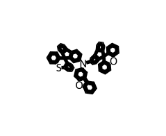 c1ccc2c(c1)Oc1ccccc1C21c2ccccc2-c2cc(N(c3ccc4c(c3)C3(c5ccccc5Sc5ccccc53)c3ccccc3-4)c3ccc4oc5ccccc5c4c3)ccc21